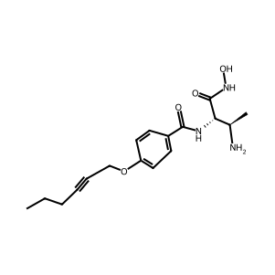 CCCC#CCOc1ccc(C(=O)N[C@H](C(=O)NO)[C@@H](C)N)cc1